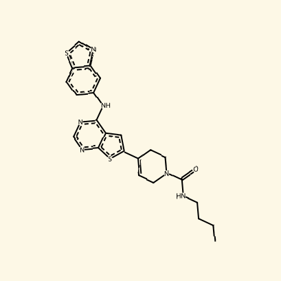 CCCCNC(=O)N1CC=C(c2cc3c(Nc4ccc5scnc5c4)ncnc3s2)CC1